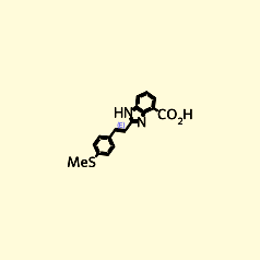 CSc1ccc(/C=C/c2nc3c(C(=O)O)cccc3[nH]2)cc1